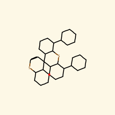 C1CCC(C2CCCC3C2SC2C(C4CCCCC4)CCCC2C32C3CCCCC3SC3CCCCC32)CC1